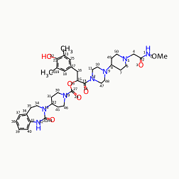 CONC(=O)CN1CCC(N2CCN(C(=O)C(Cc3cc(C)c(O)c(C)c3)OC(=O)N3CCC(N4CCc5ccccc5NC4=O)CC3)CC2)CC1